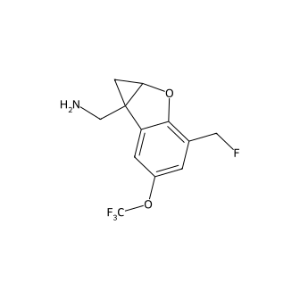 NCC12CC1Oc1c(CF)cc(OC(F)(F)F)cc12